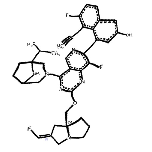 C#Cc1c(F)ccc2cc(O)cc(-c3ncc4c(N5CC6CCC(C(C)C)(C5)N6)nc(OC[C@@]56CCCN5C/C(=C/F)C6)nc4c3F)c12